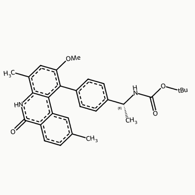 COc1cc(C)c2[nH]c(=O)c3ccc(C)cc3c2c1-c1ccc([C@@H](C)NC(=O)OC(C)(C)C)cc1